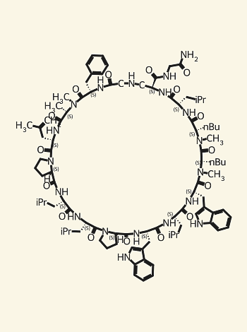 C=C(C)C[C@@H]1NC(=O)[C@H](C)N(C)C(=O)[C@H](Cc2ccccc2)NC(=O)CNC[C@@H](C(=O)NCC(N)=O)NC(=O)[C@H](CC(C)C)NC(=O)[C@H](CCCC)N(C)C(=O)[C@H](CCCC)N(C)C(=O)[C@H](Cc2c[nH]c3ccccc23)NC(=O)[C@H](CC(C)C)NC(=O)[C@H](Cc2c[nH]c3ccccc23)NC(=O)[C@@H]2CCCN2C(=O)[C@H](CC(C)C)NC(=O)[C@H](CC(C)C)NC(=O)[C@@H]2CCCN2C1=O